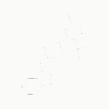 C=C/C(F)=C(\C(=C/C)C(F)(F)F)C1CCN(Cc2n[nH]c3c2CNCC3)CC1